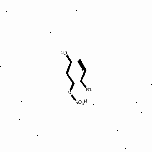 C=C[CH2][Na].O=S(=O)(O)OCCCO